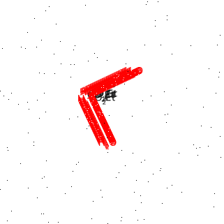 CCOC(C)=O.CCOC(C)=O.CCOC(C)=O.CCOC(C)=O.CCOC(C)=O.O.O.O.O.O.O.O.O.O.O.O.O.O.O.O.O.O.O.O.O.O.O.O.O.O.O.O.O.O.O.O.O.O.O.O.O.O.O.O.O.O.O.O.O.O.O.O.O.O.O.O.O.O.O.O.O.O.O.O.O.O.O.O.O.O.O.O.O.O.O.O.O.O.O.O.O.O.O.O.O.O.O.O.O.O